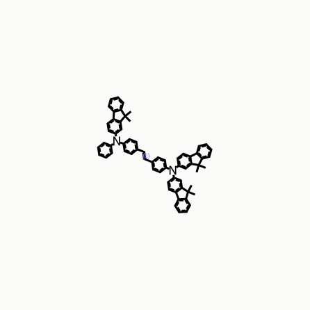 CC1(C)c2ccccc2-c2ccc(N(c3ccccc3)c3ccc(/C=C/c4ccc(N(c5ccc6c(c5)C(C)(C)c5ccccc5-6)c5ccc6c(c5)C(C)(C)c5ccccc5-6)cc4)cc3)cc21